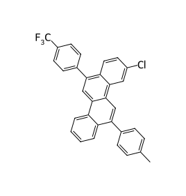 Cc1ccc(-c2cc3c4cc(Cl)ccc4c(-c4ccc(C(F)(F)F)cc4)cc3c3ccccc23)cc1